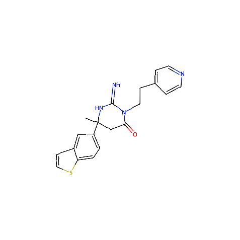 CC1(c2ccc3sccc3c2)CC(=O)N(CCc2ccncc2)C(=N)N1